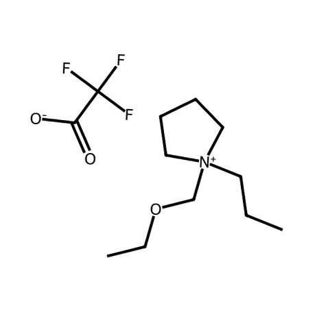 CCC[N+]1(COCC)CCCC1.O=C([O-])C(F)(F)F